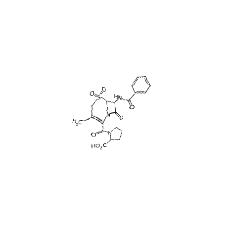 CC1=C(C(=O)N2CCCC2C(=O)O)N2C(=O)C(NC(=O)c3ccccc3)C2S(=O)(=O)C1